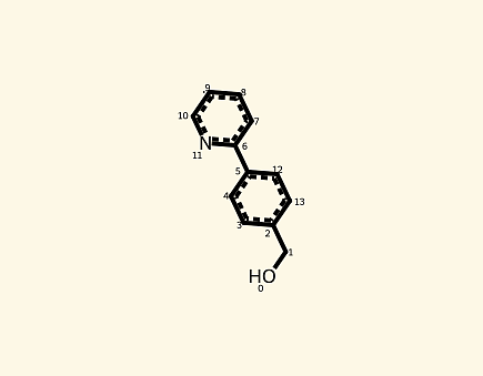 OCc1ccc(-c2cc[c]cn2)cc1